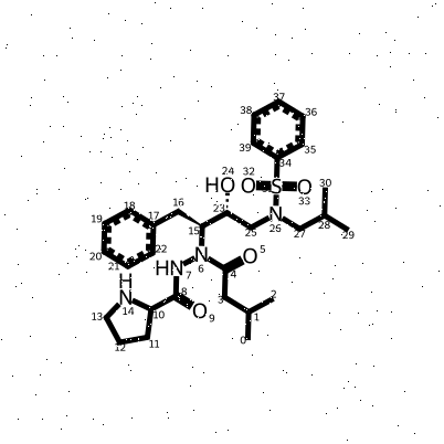 CC(C)CC(=O)N(NC(=O)C1CCCN1)[C@@H](Cc1ccccc1)[C@H](O)CN(CC(C)C)S(=O)(=O)c1ccccc1